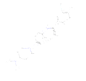 C\C=C(/C=C\C(=N\C(=C/C(C)=O)c1ccc(C)c(F)c1)C(C)CC)N1CCC(N(C)C)CC1